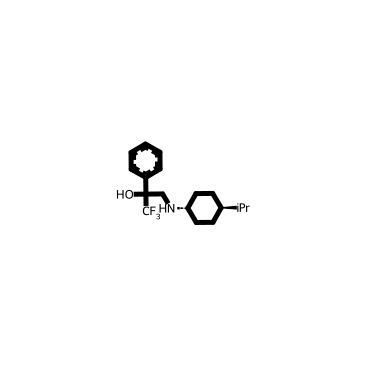 CC(C)[C@H]1CC[C@H](NCC(O)(c2ccccc2)C(F)(F)F)CC1